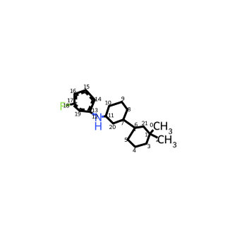 CC1(C)CCC[C](C2CCCC(Nc3cccc(F)c3)C2)C1